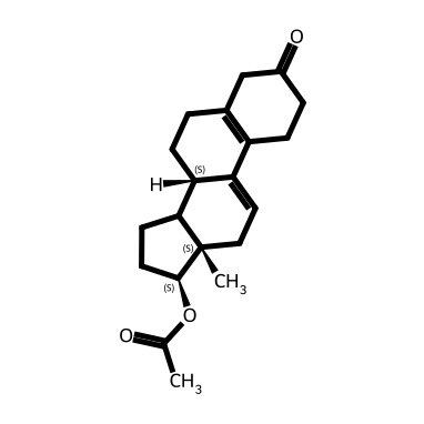 CC(=O)O[C@H]1CCC2[C@@H]3CCC4=C(CCC(=O)C4)C3=CC[C@@]21C